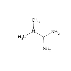 CN(C)[C](N)N